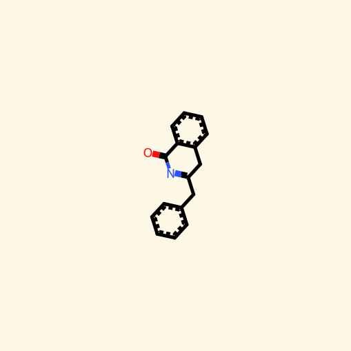 O=C1N=C(Cc2ccccc2)Cc2ccccc21